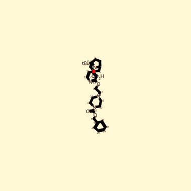 CC(C)(C)C12CCC(CN(C(=O)O)C1)N2c1ccnc(OCCN2CCN(C(=O)OCc3ccccc3)CC2)c1